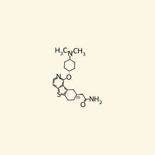 CN(C)[C@H]1CC[C@H](Oc2nccc3sc4c(c23)C[C@@H](CC(N)=O)CC4)CC1